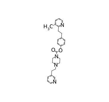 Cc1cccnc1CCc1ccc(OC(=O)N2CCN(CCc3cccnc3)CC2)cc1